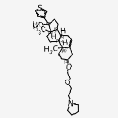 C[C@]12CC[C@H](OCCOCCN3CCCC3)CC1=CC[C@@H]1[C@@H]2CC[C@@]2(C)[C@H]1CC[C@@]2(O)c1ccsc1